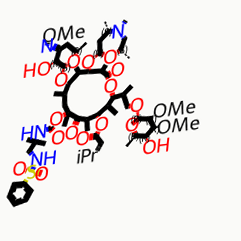 CON=C1C[C@@H](C)O[C@@H](OC2C(C)CC(C)(OC(=O)NC(C)(C)CNS(=O)(=O)c3ccccc3)C(=O)C(C)C(OC(=O)CC(C)C)C(C)C(C(C)CO[C@@H]3O[C@H](C)[C@@H](O)[C@@H](OC)[C@H]3OC)OC(=O)C(C)C(O[C@H]3C[C@H](C)N(C)C[C@H](C)O3)C2C)[C@@H]1O